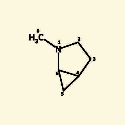 CN1CCC2CC21